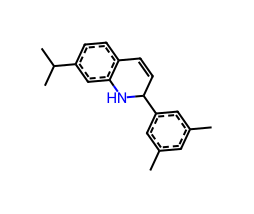 Cc1cc(C)cc(C2C=Cc3ccc(C(C)C)cc3N2)c1